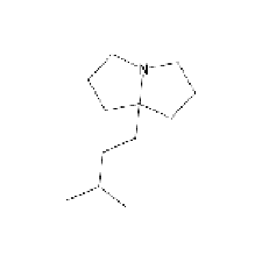 CC(C)CCC12CCCN1CCC2